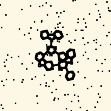 c1ccc(-c2nc(-c3cccc4oc5ccc(-c6nc(-c7ccccc7)c7sc8ccccc8c7n6)cc5c34)nc(-n3c4ccccc4c4ccccc43)n2)cc1